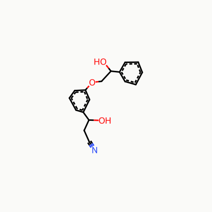 N#CCC(O)c1cccc(OCC(O)c2ccccc2)c1